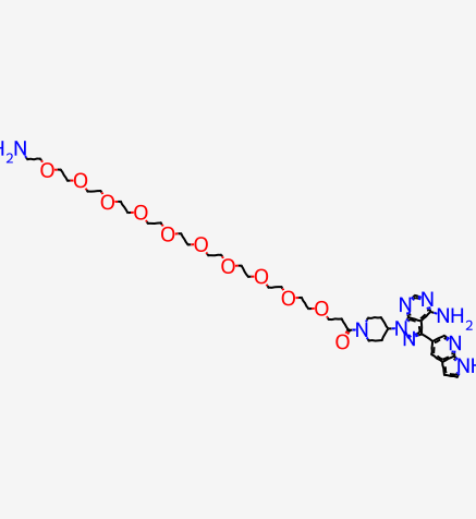 NCCOCCOCCOCCOCCOCCOCCOCCOCCOCCOCCC(=O)N1CCC(n2nc(-c3cnc4[nH]ccc4c3)c3c(N)ncnc32)CC1